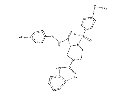 CCCc1ccc(CNC(=O)[C@H]2CN(C(=O)Nc3ccccc3O)CCN2S(=O)(=O)c2ccc(OC(F)(F)F)cc2)cc1